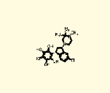 CN1CCN([C@@H]2C[C@@H](c3c(O)c(O)c(O)c(O)c3O)c3ccc(Cl)cc32)CC1(C)C